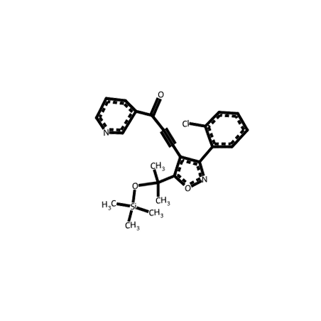 CC(C)(O[Si](C)(C)C)c1onc(-c2ccccc2Cl)c1C#CC(=O)c1cccnc1